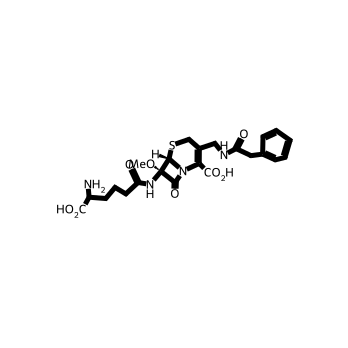 CO[C@@]1(NC(=O)CCCC(N)C(=O)O)C(=O)N2C(C(=O)O)=C(CNC(=O)Cc3ccccc3)CS[C@H]21